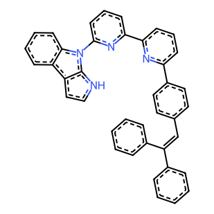 C(=C(c1ccccc1)c1ccccc1)c1ccc(-c2cccc(-c3cccc(-n4c5ccccc5c5cc[nH]c54)n3)n2)cc1